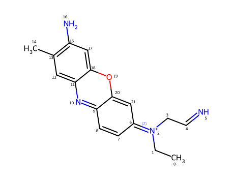 CC/[N+](CC=N)=c1\ccc2nc3cc(C)c(N)cc3oc-2c1